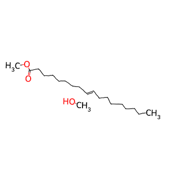 CCCCCCCCC=CCCCCCCCC(=O)OC.CO